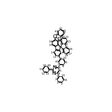 c1ccc(-c2cc(-c3cccc(-c4ccc5c(c4)C4(c6ccccc6-c6ccccc64)c4c-5ccc5c4Oc4ccccc4O5)c3)nc(-c3ccccc3)n2)cc1